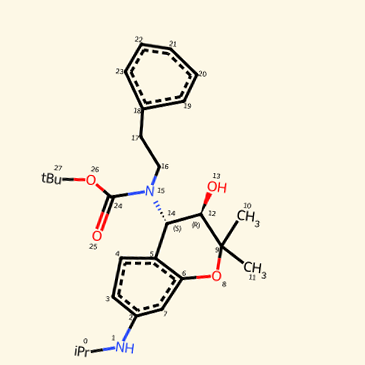 CC(C)Nc1ccc2c(c1)OC(C)(C)[C@H](O)[C@H]2N(CCc1ccccc1)C(=O)OC(C)(C)C